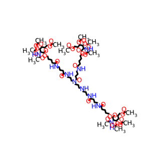 CC(=O)NC1[C@H](OCCCCC(=O)NCCCC(=O)NCCCNCCCN(CCCNC(=O)CCCNC(=O)CCCCO[C@@H]2OC(COC(C)=O)[C@H](OC(C)=O)[C@H](OC(C)=O)C2NC(C)=O)C(=O)CCCNC(=O)CCCCO[C@@H]2OC(COC(C)=O)[C@H](OC(C)=O)[C@H](OC(C)=O)C2NC(C)=O)OC(COC(C)=O)[C@H](OC(C)=O)[C@@H]1OC(C)=O